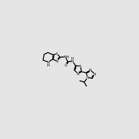 CC(C)n1cnnc1-c1ncc(NC(=O)Nc2nc3c(s2)CCCN3)s1